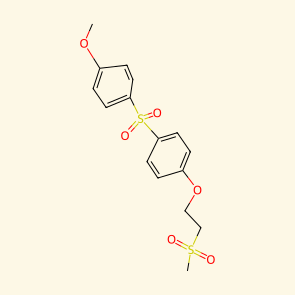 COc1ccc(S(=O)(=O)c2ccc(OCCS(C)(=O)=O)cc2)cc1